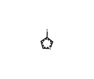 Fc1[c]cs[c]1